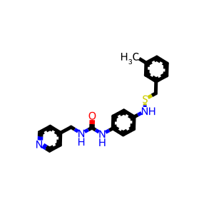 Cc1cccc(CSNc2ccc(NC(=O)NCc3ccncc3)cc2)c1